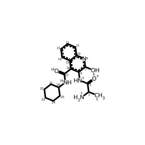 CC(N)C(=O)Nc1c(O)nc2ccccc2c1C(=O)NC1CCCCC1